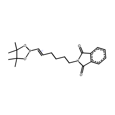 CC1(C)OB(/C=C/CCCCN2C(=O)c3ccccc3C2=O)OC1(C)C